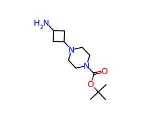 CC(C)(C)OC(=O)N1CCN(C2CC(N)C2)CC1